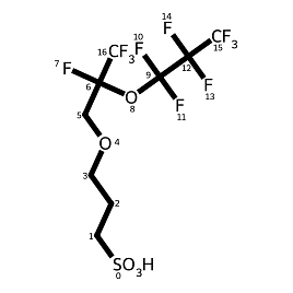 O=S(=O)(O)CCCOCC(F)(OC(F)(F)C(F)(F)C(F)(F)F)C(F)(F)F